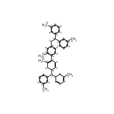 CC1=CC=CC(N(c2cccc(C)c2)C2C=CC(c3ccc(CC(c4cccc(C)c4)c4cccc(C)c4)cc3C)=C(C)C2)C1